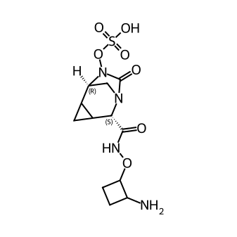 NC1CCC1ONC(=O)[C@@H]1C2CC2[C@@H]2CN1C(=O)N2OS(=O)(=O)O